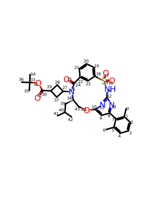 Cc1cccc(C)c1-c1cc2nc(n1)NS(=O)(=O)c1cccc(c1)C(=O)N(C1CC(C(=O)OC(C)(C)C)C1)[C@H](CC(C)C)CO2